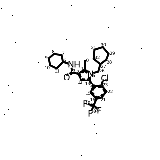 Cc1c(C(=O)NC2CCCCC2)cc(-c2cc(C(F)(F)F)ccc2Cl)n1CC1CCCCC1